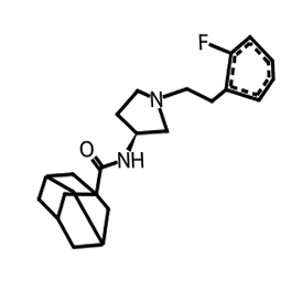 O=C(N[C@H]1CCN(CCc2ccccc2F)C1)C12CC3CC(CC(C3)C1)C2